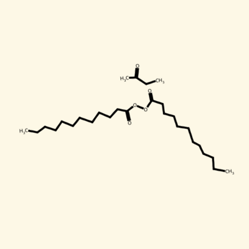 CCC(C)=O.CCCCCCCCCCCC(=O)OOC(=O)CCCCCCCCCCC